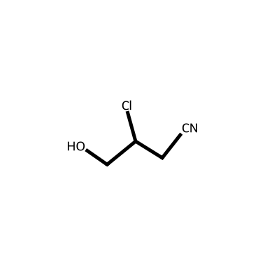 N#CCC(Cl)CO